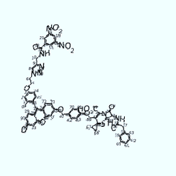 Cc1cc(OCCn2cc(CNC(=O)c3cc([N+](=O)[O-])cc([N+](=O)[O-])c3)nn2)ccc1-c1c2ccc(=O)cc-2oc2cc(OCc3ccc(OCC4=C(C(=O)O)N5C(=O)[C@@H](NC(=O)Cc6ccccc6)[C@H]5SC45CC5)cc3)ccc12